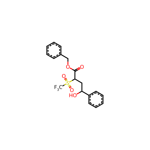 O=C(OCc1ccccc1)C(CC(O)c1ccccc1)S(=O)(=O)C(F)(F)F